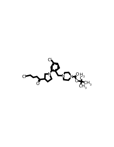 CC(C)(C)OC(=O)N1CCN(Cc2ccc(Cl)cc2N2CCC(C(=O)CCCCl)C2)CC1